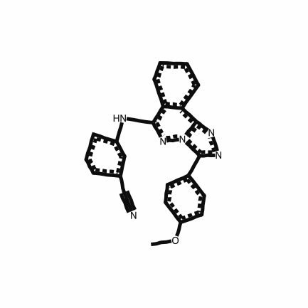 COc1ccc(-c2nnc3c4ccccc4c(Nc4cccc(C#N)c4)nn23)cc1